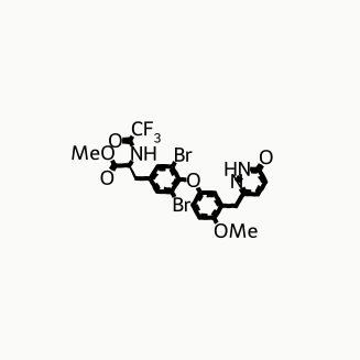 COC(=O)[C@H](Cc1cc(Br)c(Oc2ccc(OC)c(Cc3ccc(=O)[nH]n3)c2)c(Br)c1)NC(=O)C(F)(F)F